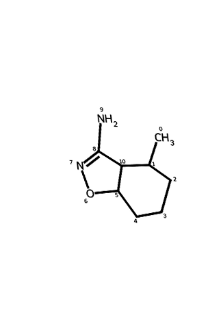 CC1CCCC2ON=C(N)C12